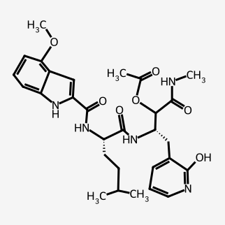 CNC(=O)C(OC(C)=O)[C@H](Cc1cccnc1O)NC(=O)[C@H](CCC(C)C)NC(=O)c1cc2c(OC)cccc2[nH]1